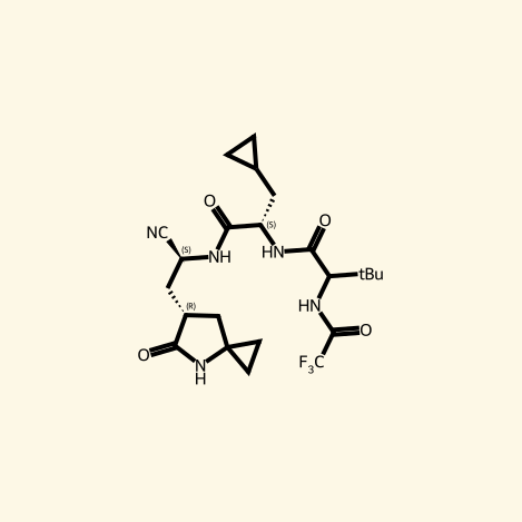 CC(C)(C)C(NC(=O)C(F)(F)F)C(=O)N[C@@H](CC1CC1)C(=O)N[C@H](C#N)C[C@@H]1CC2(CC2)NC1=O